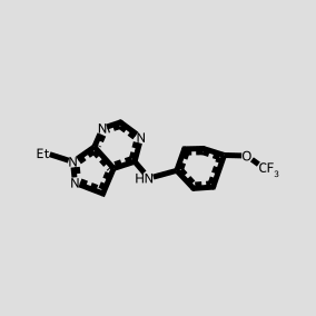 CCn1ncc2c(Nc3ccc(OC(F)(F)F)cc3)ncnc21